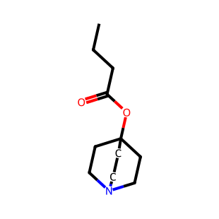 CCCC(=O)OC12CCN(CC1)CC2